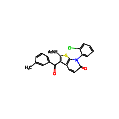 CC(=O)Nc1sc2c(ccc(=O)n2-c2ccccc2Cl)c1C(=O)c1cccc(C)c1